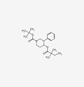 CCC(C)(C)C(=O)OC1CCN(C(=O)OC(C)(C)C)CC1c1ccccc1